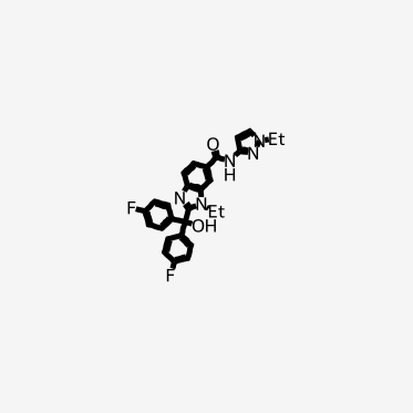 CCn1ccc(NC(=O)c2ccc3nc(C(O)(c4ccc(F)cc4)c4ccc(F)cc4)n(CC)c3c2)n1